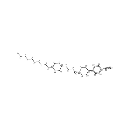 CCCCCCCCCC[C@H]1CC[C@H](CCCO[C@H]2CC[C@H](c3ccc(C#N)cc3)CC2)CC1